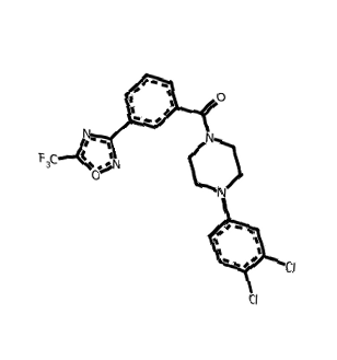 O=C(c1cccc(-c2noc(C(F)(F)F)n2)c1)N1CCN(c2ccc(Cl)c(Cl)c2)CC1